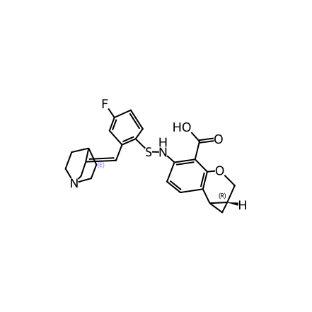 O=C(O)c1c(NSc2ccc(F)cc2/C=C2/CN3CCC2CC3)ccc2c1OC[C@@H]1CC21